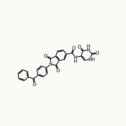 O=C(Nc1c[nH]c(=O)[nH]c1=O)c1ccc2c(c1)C(=O)N(c1ccc(C(=O)c3ccccc3)cc1)C2=O